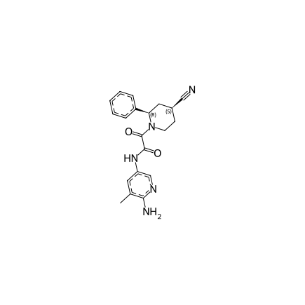 Cc1cc(NC(=O)C(=O)N2CC[C@H](C#N)C[C@@H]2c2ccccc2)cnc1N